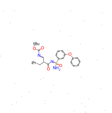 CC(C)CC(/C=N/C(=O)OC(C)(C)C)C(=O)N=S(N)(=O)c1cccc(Oc2ccccc2)c1